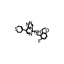 Fc1ccc2c(c1CNc1ncc(C3=CCSCC3)c3nncn13)CCO2